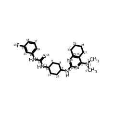 CN(C)c1nc(NC2CCC(NC(=S)Nc3cccc(F)c3)CC2)nc2c1CCCC2